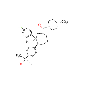 CC1(c2ccc(F)cc2)CC(C(=O)[C@H]2CC[C@@H](C(=O)O)CC2)CCC[C@H]1c1ccc(C(O)(C(F)(F)F)C(F)(F)F)cc1